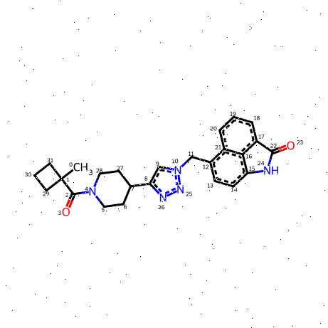 CC1(C(=O)N2CCC(c3cn(Cc4ccc5c6c(cccc46)C(=O)N5)nn3)CC2)CCC1